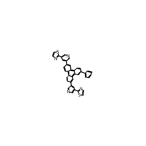 c1ccc(-c2ccc3c4cc(-c5cncc(-c6nccs6)c5)ccc4c4ccc(-c5cncc(-c6nccs6)c5)cc4c3c2)cc1